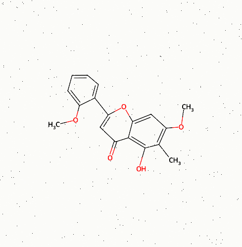 COc1ccccc1-c1cc(=O)c2c(O)c(C)c(OC)cc2o1